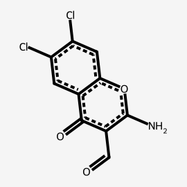 Nc1oc2cc(Cl)c(Cl)cc2c(=O)c1C=O